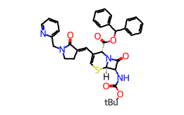 CC(C)(C)OC(=O)N[C@@H]1C(=O)N2[C@@H](C(=O)OC(c3ccccc3)c3ccccc3)C(/C=C3\CCN(Cc4ccccn4)C3=O)=CS[C@H]12